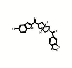 O=C(c1cc2cc(Cl)ccc2[nH]1)C1C[C@@H]2CN(C(=O)c3ccc4[nH]nnc4c3)C[C@@H]2C1